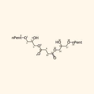 CCCCCOCC(O)COC(=O)CCC(=O)OCC(O)COCCCCC